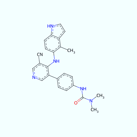 Cc1c(Nc2c(C#N)cncc2-c2ccc(NC(=O)N(C)C)cc2)ccc2[nH]ccc12